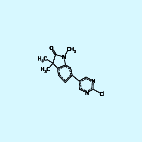 CN1C(=O)C(C)(C)c2ccc(-c3cnc(Cl)nc3)cc21